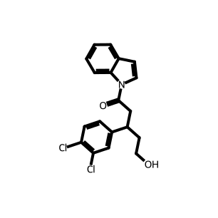 O=C(CC(CCO)c1ccc(Cl)c(Cl)c1)n1ccc2ccccc21